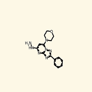 NNc1cc(N2CCOCC2)n2nc(-c3ccccc3)nc2n1